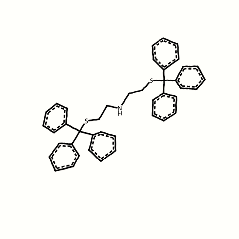 c1ccc(C(SCCNCCSC(c2ccccc2)(c2ccccc2)c2ccccc2)(c2ccccc2)c2ccccc2)cc1